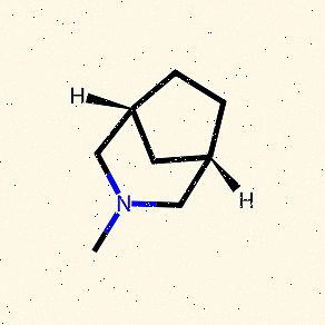 CN1C[C@@H]2CC[C@@H](C2)C1